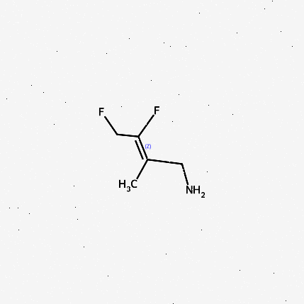 C/C(CN)=C(/F)CF